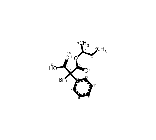 CCC(C)OC(=O)C(Br)(C(=O)O)c1ccccc1